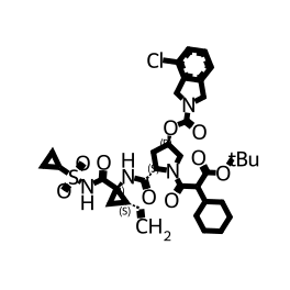 C=C[C@@H]1C[C@]1(NC(=O)[C@@H]1C[C@@H](OC(=O)N2Cc3cccc(Cl)c3C2)CN1C(=O)C(C(=O)OC(C)(C)C)C1CCCCC1)C(=O)NS(=O)(=O)C1CC1